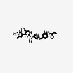 C=CC(=O)Nc1ccc(Cn2cc(Nc3ncc(Cl)c(-c4cc(C)[nH]n4)n3)cn2)cc1